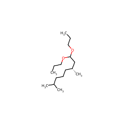 CCCOC(C[C@H](C)CCCC(C)C)OCCC